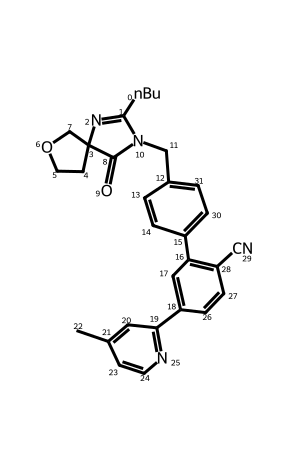 CCCCC1=NC2(CCOC2)C(=O)N1Cc1ccc(-c2cc(-c3cc(C)ccn3)ccc2C#N)cc1